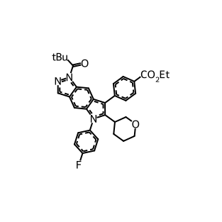 CCOC(=O)c1ccc(-c2c(C3CCCOC3)n(-c3ccc(F)cc3)c3cc4cnn(C(=O)C(C)(C)C)c4cc23)cc1